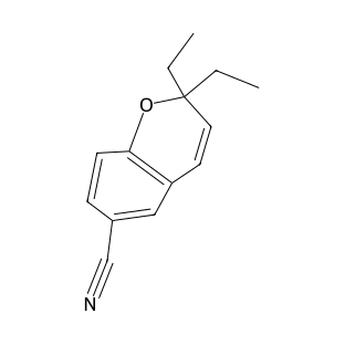 CCC1(CC)C=Cc2cc(C#N)ccc2O1